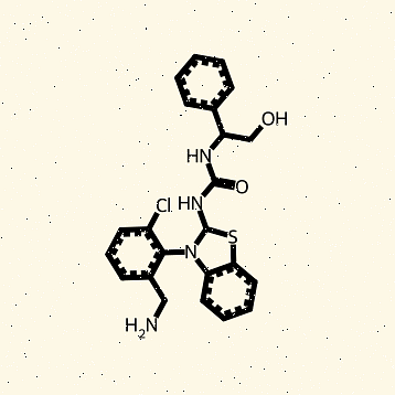 NCc1cccc(Cl)c1N1c2ccccc2SC1NC(=O)NC(CO)c1ccccc1